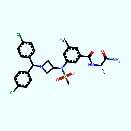 C[C@H](NC(=O)c1cc(N(C2CN(C(c3ccc(Cl)cc3)c3ccc(Cl)cc3)C2)S(C)(=O)=O)cc(C(F)(F)F)c1)C(N)=O